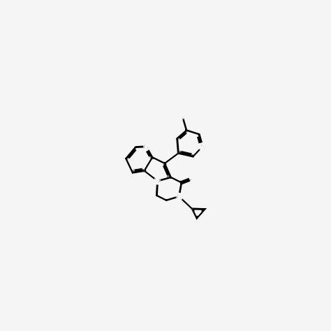 O=C1c2c(-c3cncc(Cl)c3)c3ncccc3n2CCN1C1CC1